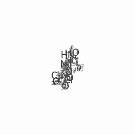 C=CC(=O)N[C@H]1CCC(C2CCC2)C[C@H]1Nc1ncc2c(n1)N(C)C(=O)N(c1c(Cl)c(OC)cc(OC)c1Cl)C2